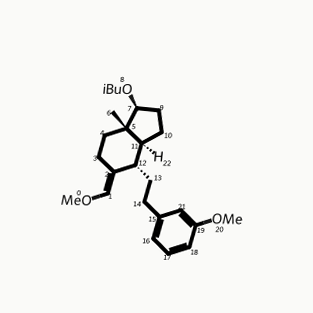 CO/C=C1\CC[C@]2(C)[C@@H](OCC(C)C)CC[C@H]2[C@@H]1CCc1cccc(OC)c1